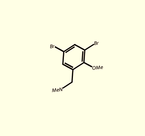 CNCc1cc(Br)cc(Br)c1OC